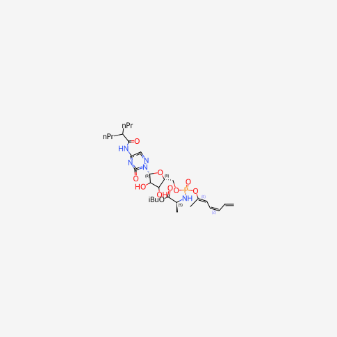 C=C/C=C\C=C(/C)OP(=O)(N[C@@H](C)C(=O)OCC(C)C)OC[C@H]1O[C@@H](n2ncc(NC(=O)C(CCC)CCC)nc2=O)C(O)C1O